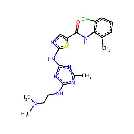 Cc1nc(NCCN(C)C)nc(Nc2ncc(C(=O)Nc3c(C)cccc3Cl)s2)n1